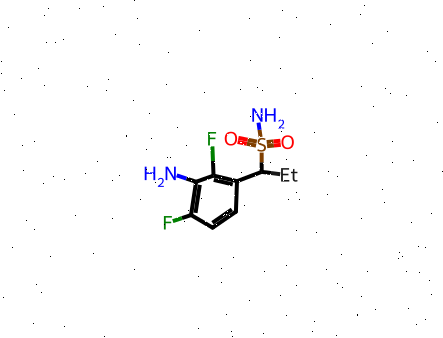 CCC(c1ccc(F)c(N)c1F)S(N)(=O)=O